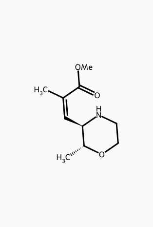 COC(=O)C(C)=C[C@H]1NCCO[C@@H]1C